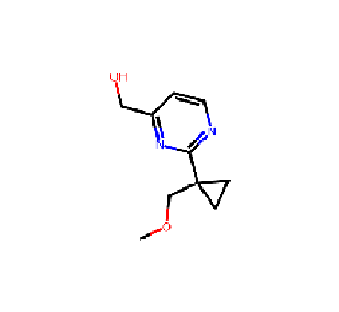 COCC1(c2nccc(CO)n2)CC1